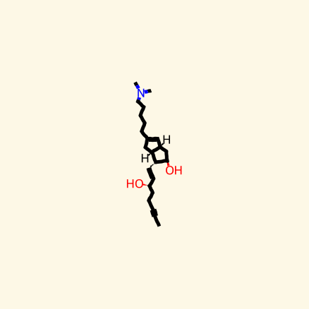 CC#CCC[C@H](O)/C=C/[C@@H]1[C@H]2CC(CCCCCN(C)C)=C[C@H]2C[C@H]1O